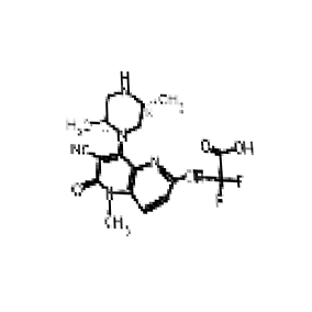 C[C@@H]1CN(c2c(C#N)c(=O)n(C)c3ccc(C#N)nc23)[C@@H](C)CN1.O=C(O)C(F)(F)F